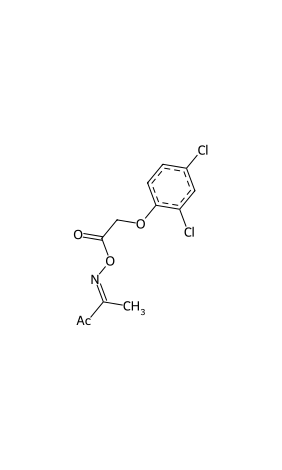 CC(=O)C(C)=NOC(=O)COc1ccc(Cl)cc1Cl